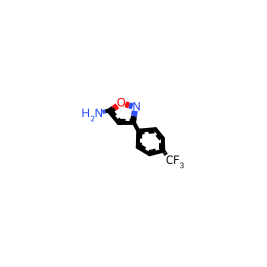 Nc1cc(-c2ccc(C(F)(F)F)cc2)no1